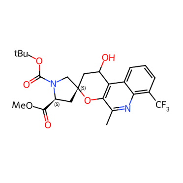 COC(=O)[C@@H]1C[C@]2(CC(O)c3c(c(C)nc4c(C(F)(F)F)cccc34)O2)CN1C(=O)OC(C)(C)C